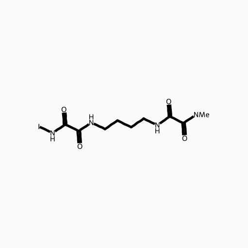 CNC(=O)C(=O)NCCCCNC(=O)C(=O)NI